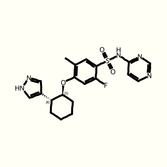 Cc1cc(S(=O)(=O)Nc2ccncn2)c(F)cc1O[C@H]1CCCC[C@@H]1c1cn[nH]c1